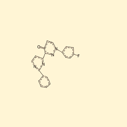 O=c1ccn(-c2ccc(F)cc2)nc1-c1ccnc(-c2ccccc2)n1